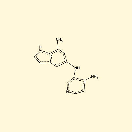 Cc1cc(Nc2cnccc2N)cc2cc[nH]c12